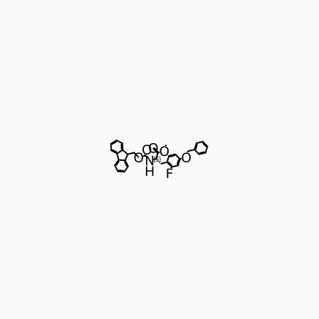 COC(=O)[C@H](Cc1ccc(OCc2ccccc2)cc1F)NC(=O)OCC1c2ccccc2-c2ccccc21